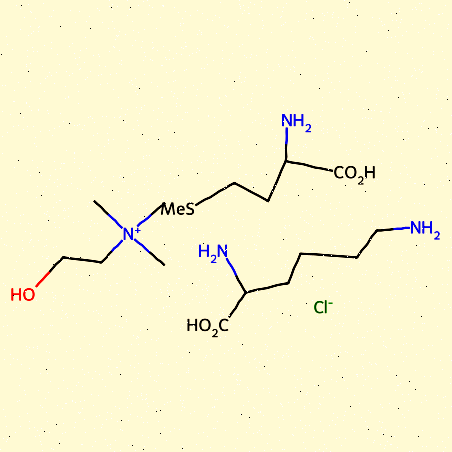 CSCCC(N)C(=O)O.C[N+](C)(C)CCO.NCCCCC(N)C(=O)O.[Cl-]